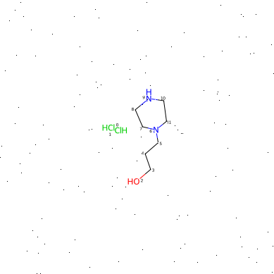 Cl.Cl.OCCCN1CCNCC1